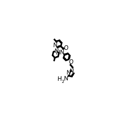 Cc1ccc(C(=O)Nc2ccc(OCCn3ccc(N)n3)cc2)c(N2CCC(C)CC2)n1